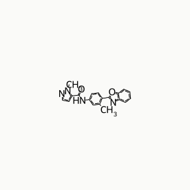 Cc1cc(NC(=O)c2ccnn2C)ccc1-c1nc2ccccc2o1